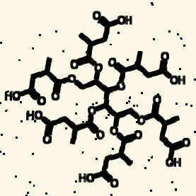 CC(CC(=O)O)C(=O)OCC(OC(=O)C(C)CC(=O)O)C(OC(=O)C(C)CC(=O)O)C(OC(=O)C(C)CC(=O)O)C(COC(=O)C(C)CC(=O)O)OC(=O)C(C)CC(=O)O